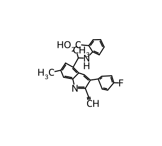 C#Cc1nc2cc(C)cc(C(C)Nc3ccccc3C(=O)O)c2cc1-c1ccc(F)cc1